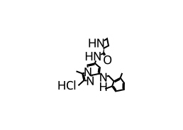 Cc1cccc(C)c1CNc1cc(NC(=O)[C@@H]2CCN2)cn2c(C)c(C)nc12.Cl